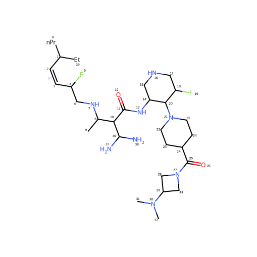 CCCC(/C=C\C(F)CNC(C)C(C(=O)NC1CNCC(F)C1N1CCC(C(=O)N2CC(N(C)C)C2)CC1)C(N)N)CC